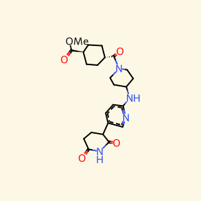 COC(=O)[C@H]1CC[C@H](C(=O)N2CCC(Nc3ccc(C4CCC(=O)NC4=O)cn3)CC2)CC1